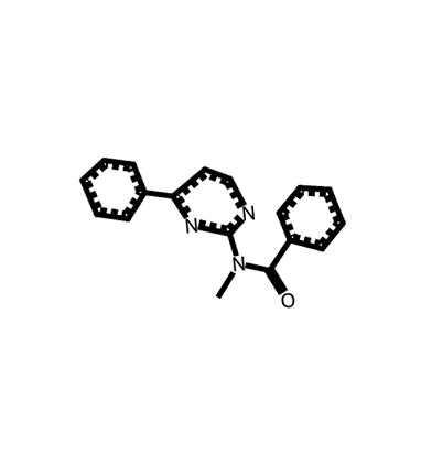 CN(C(=O)c1ccccc1)c1nccc(-c2ccccc2)n1